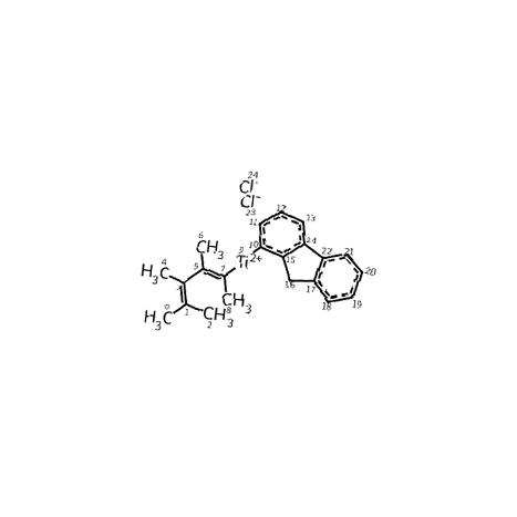 CC(C)=C(C)/C(C)=[C](\C)[Ti+2][c]1cccc2c1Cc1ccccc1-2.[Cl-].[Cl-]